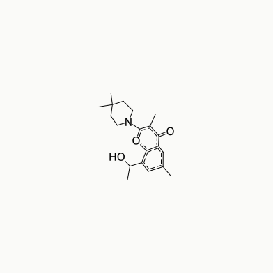 Cc1cc(C(C)O)c2oc(N3CCC(C)(C)CC3)c(C)c(=O)c2c1